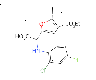 CCOC(=O)c1cc(C(Nc2ccc(F)cc2Cl)C(=O)O)oc1C